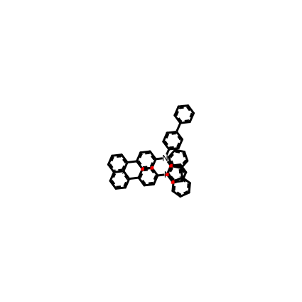 c1ccc(-c2ccc(N(c3ccccc3)c3ccc(-c4cccc5cccc(-c6ccc(-n7c8ccccc8c8ccccc87)cc6)c45)cc3)cc2)cc1